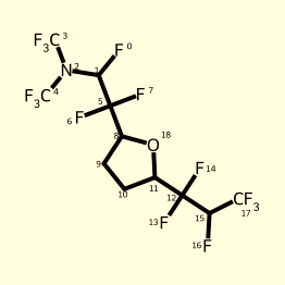 FC(N(C(F)(F)F)C(F)(F)F)C(F)(F)C1CCC(C(F)(F)C(F)C(F)(F)F)O1